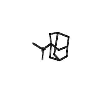 C[S+](C)C12CC3CC(CC(C3)C1)C2